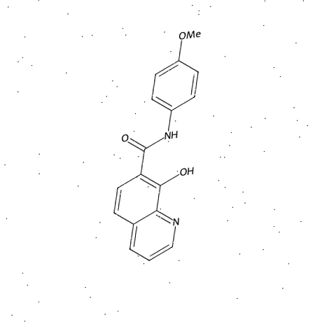 COc1ccc(NC(=O)c2ccc3cccnc3c2O)cc1